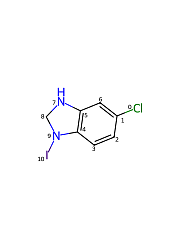 Clc1ccc2c(c1)NCN2I